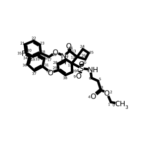 CCOC(=O)CCNS(=O)(=O)C1(C2(C(=O)NOCc3ccccc3)CCC2)C=CC(Oc2ccc(F)cc2)=CC1